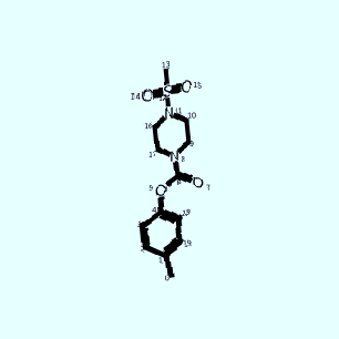 Cc1ccc(OC(=O)N2CCN(S(C)(=O)=O)CC2)cc1